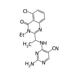 CCn1c(C(C)Nc2nc(N)ncc2C#N)nc2cccc(Cl)c2c1=O